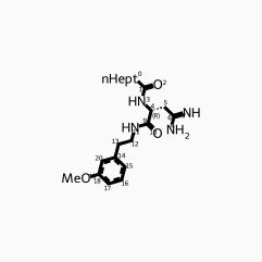 CCCCCCCC(=O)N[C@H](CC(=N)N)C(=O)NCCc1cccc(OC)c1